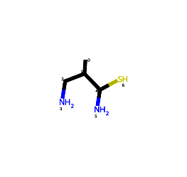 CC(CN)C(N)S